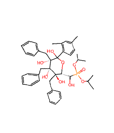 Cc1ccc(C2(O)O[C@H](C(O)P(=O)(OC(C)C)OC(C)C)[C@](O)(Cc3ccccc3)[C@@](O)(Cc3ccccc3)[C@@]2(O)Cc2ccccc2)c(C)c1